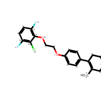 O=C(O)C1=C(c2ccc(OCCOc3c(F)ccc(F)c3Cl)cc2)CCNC1